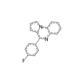 Fc1ccc(-c2nc3ccccc3n3cccc23)cc1